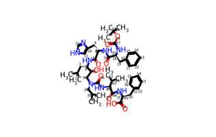 CC(C)C[C@H](NC(=O)[C@H](Cc1c[nH]cn1)NC(=O)[C@H](Cc1ccccc1)NC(=O)OC(C)(C)C)C(O)CN(CC(C)C)C(=O)N[C@H](C(=O)N[C@@H](Cc1ccccc1)C(=O)O)C(C)C